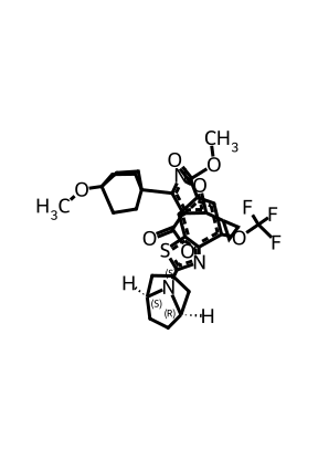 COC(=O)c1cc(OC(F)(F)F)c2nc(N3[C@@H]4CC[C@H]3C[C@H](OC(=O)c3c(C56CCC(OC)(CC5)CC6)noc3C3CC3)C4)sc2c1